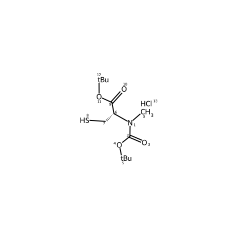 CN(C(=O)OC(C)(C)C)[C@H](CS)C(=O)OC(C)(C)C.Cl